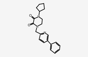 O=C1C(=O)N(C2CCCC2)CCN1Cc1ccc(-c2ccccc2)cn1